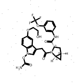 NC(=O)On1cc(CC(=O)N2[C@@H]3C[C@@H]3C[C@H]2C(=O)Nc2cccc(OC(F)(F)F)c2)c2cc(OCCO)ccc21